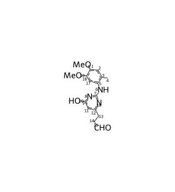 COc1cc(C)c(Nc2nc(O)cc(CCC=O)n2)cc1OC